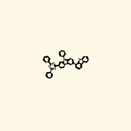 c1ccc(-c2nc(-c3ccccc3)nc(-c3ccc4c5cc(-c6cccc7c6sc6ccccc67)ccc5n(-c5ccccc5)c4c3)n2)cc1